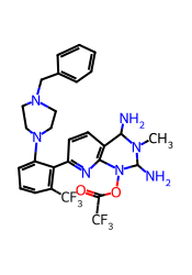 CN1C(N)c2ccc(-c3c(N4CCN(Cc5ccccc5)CC4)cccc3C(F)(F)F)nc2N(OC(=O)C(F)(F)F)C1N